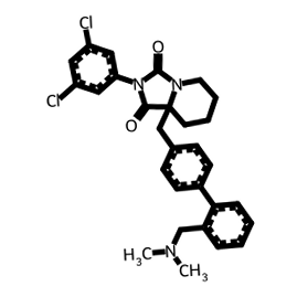 CN(C)Cc1ccccc1-c1ccc(CC23CCCCN2C(=O)N(c2cc(Cl)cc(Cl)c2)C3=O)cc1